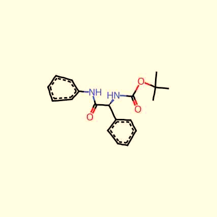 CC(C)(C)OC(=O)N[C@H](C(=O)Nc1ccccc1)c1ccccc1